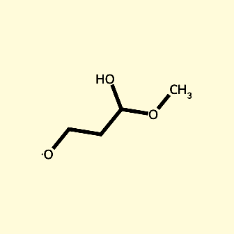 COC(O)CC[O]